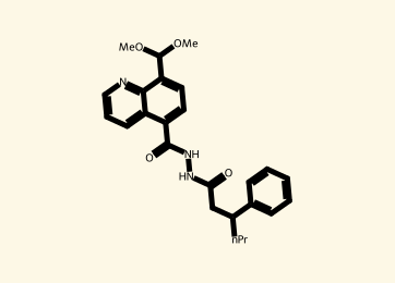 CCCC(CC(=O)NNC(=O)c1ccc(C(OC)OC)c2ncccc12)c1ccccc1